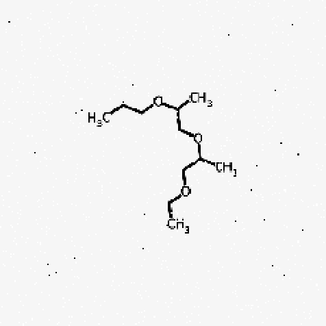 C[CH]COC(C)COC(C)COCC